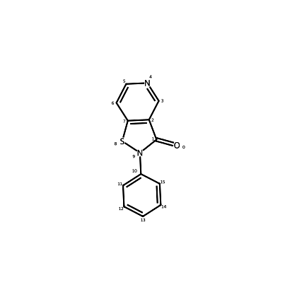 O=c1c2cnccc2sn1-c1ccccc1